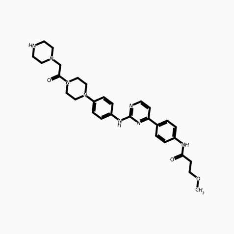 COCCC(=O)Nc1ccc(-c2ccnc(Nc3ccc(N4CCN(C(=O)CN5CCNCC5)CC4)cc3)n2)cc1